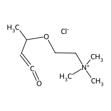 CC(C=C=O)OCC[N+](C)(C)C.[Cl-]